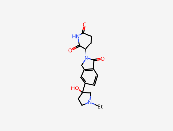 CCN1CCC(O)(c2ccc3c(c2)CN(C2CCC(=O)NC2=O)C3=O)C1